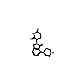 O=C1CCC(N2Cc3cccc(C4CCNCC4)c3C2=O)C(=O)N1